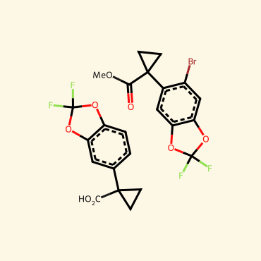 COC(=O)C1(c2cc3c(cc2Br)OC(F)(F)O3)CC1.O=C(O)C1(c2ccc3c(c2)OC(F)(F)O3)CC1